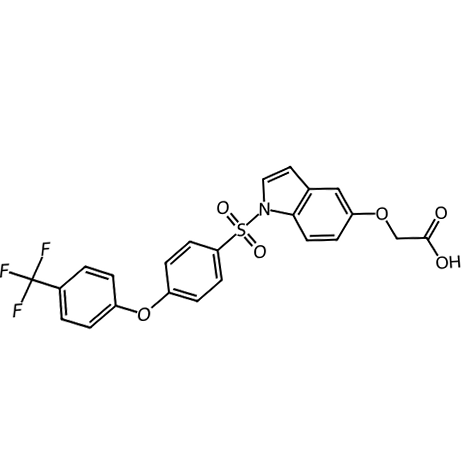 O=C(O)COc1ccc2c(ccn2S(=O)(=O)c2ccc(Oc3ccc(C(F)(F)F)cc3)cc2)c1